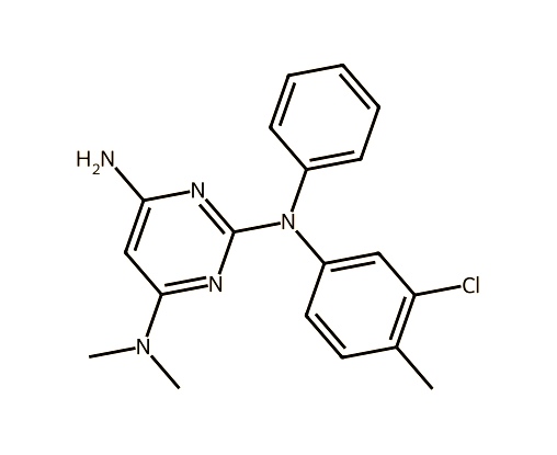 Cc1ccc(N(c2ccccc2)c2nc(N)cc(N(C)C)n2)cc1Cl